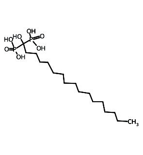 CCCCCCCCCCCCCCCCC(O)(P(=O)(O)O)P(=O)(O)O